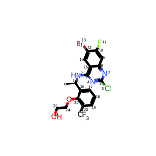 C[C@@H](Nc1nc(Cl)nc2cc(F)c(Br)cc12)c1cccc(C(F)(F)F)c1OCCO